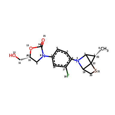 C[C@H]1C2N(c3ccc(N4C[C@H](CO)OC4=O)cc3F)C3CSC321